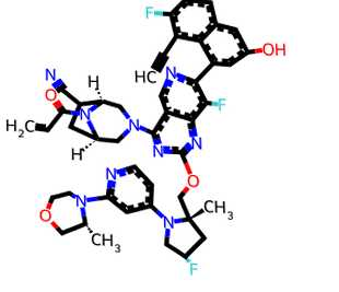 C#Cc1c(F)ccc2cc(O)cc(-c3ncc4c(N5C[C@H]6CC(C#N)[C@@H](C5)N6C(=O)C=C)nc(OC[C@]5(C)C[C@@H](F)CN5c5ccnc(N6CCOC[C@H]6C)c5)nc4c3F)c12